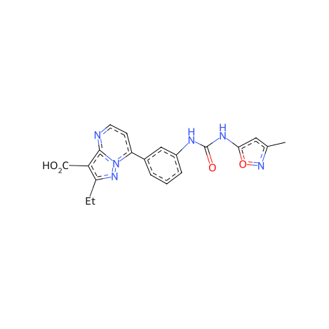 CCc1nn2c(-c3cccc(NC(=O)Nc4cc(C)no4)c3)ccnc2c1C(=O)O